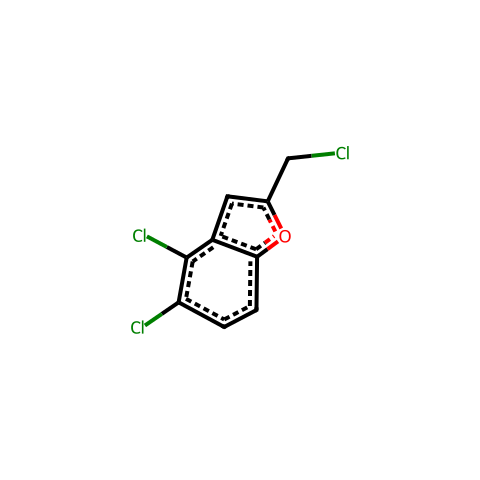 ClCc1cc2c(Cl)c(Cl)ccc2o1